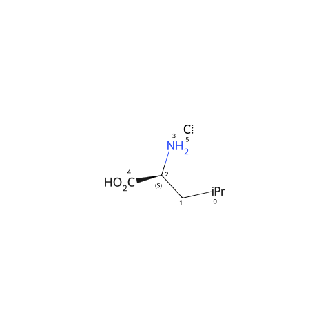 CC(C)C[C@H](N)C(=O)O.[C]